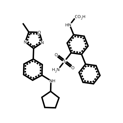 Cc1nc(-c2cccc(NC3CCCC3)c2)no1.NS(=O)(=O)c1cc(NC(=O)O)ccc1-c1ccccc1